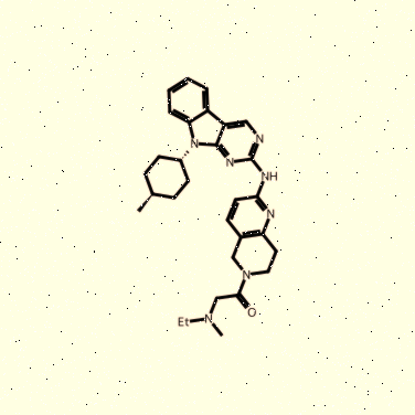 CCN(C)CC(=O)N1CCc2nc(Nc3ncc4c5ccccc5n([C@H]5CC[C@H](C)CC5)c4n3)ccc2C1